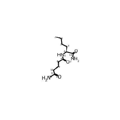 CCCC[C@H](NC(=O)CCCC(N)=O)C(N)=O